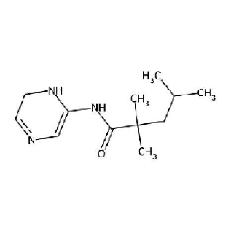 CC(C)CC(C)(C)C(=O)NC1=CN=CCN1